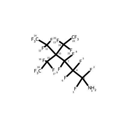 NC(F)(F)C(F)(F)C(F)(F)C(C(F)(F)C(F)(F)F)(C(F)(F)C(F)(F)F)C(F)(F)C(F)(F)F